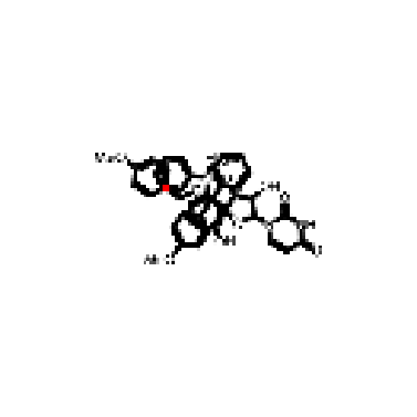 COc1ccc(COC(c2ccccc2)(c2ccc(OC)cc2)C2(CO)OC(n3ccc(=O)[nH]c3=O)C(O)C2O[Si](c2ccccc2)(c2ccccc2)C(C)(C)C)cc1